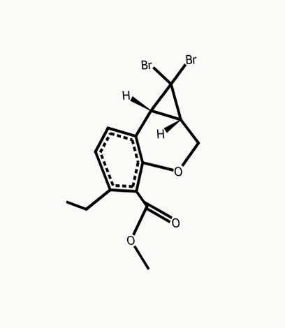 CCc1ccc2c(c1C(=O)OC)OC[C@@H]1[C@H]2C1(Br)Br